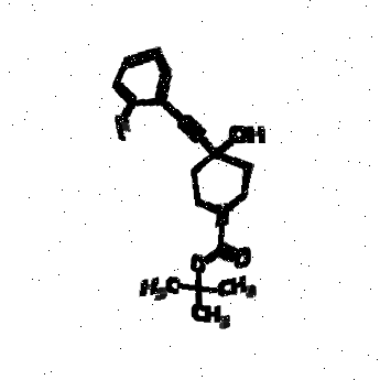 CC(C)(C)OC(=O)N1CCC(O)(C#Cc2ccccc2F)CC1